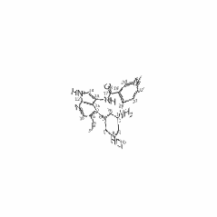 Cl.NC1CCCN(c2c(F)cnc3[nH]cc(NC(=O)c4cccnc4)c23)C1